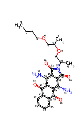 CCCCOCC(C)OCC(C)n1c(=O)c2c(N)c3c(=O)c4ccccc4c(=O)c3c(N)c2c1=O